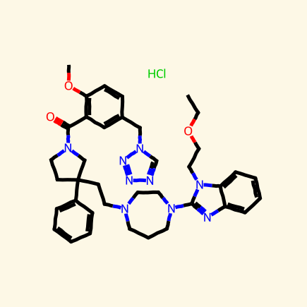 CCOCCn1c(N2CCCN(CCC3(c4ccccc4)CCN(C(=O)c4cc(Cn5cnnn5)ccc4OC)C3)CC2)nc2ccccc21.Cl